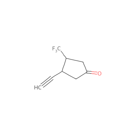 C#CC1CC(=O)CC1C(F)(F)F